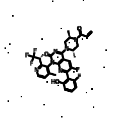 C=CC(=O)N1C[C@H](C)N(c2nc(=O)n(-c3c(C)ccnc3[C@@H](C)C(F)(F)F)c3nc(-c4c(O)cccc4F)c(F)cc23)C[C@H]1C